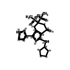 CS(=O)(=O)C1(S(C)(=O)=O)CC(=O)c2c(NC3CCCC3)sc(-c3cc[nH]n3)c2C1